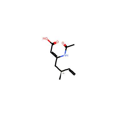 C=C[C@@H](C)C/C(=C/C(=O)O)NC(C)=O